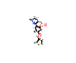 Oc1cc(OCc2ccsc2)ccc1-c1ccccn1